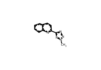 Cn1nnc(-c2ccc3ccccc3n2)n1